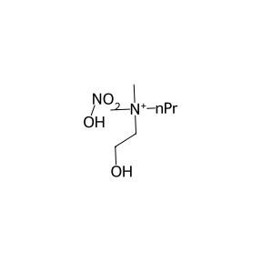 CCC[N+](C)(C)CCO.O=[N+]([O-])O